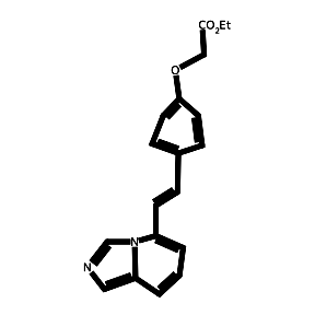 CCOC(=O)COc1ccc(/C=C/c2cccc3cncn23)cc1